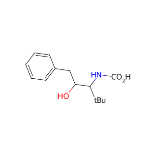 CC(C)(C)C(NC(=O)O)C(O)Cc1ccccc1